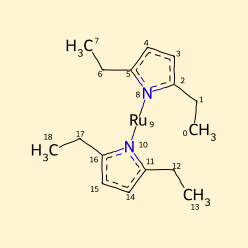 CCc1ccc(CC)[n]1[Ru][n]1c(CC)ccc1CC